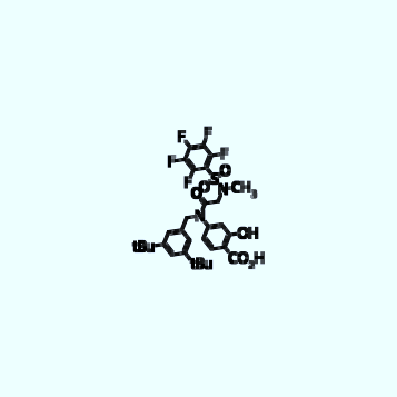 CN(CC(=O)N(Cc1cc(C(C)(C)C)cc(C(C)(C)C)c1)c1ccc(C(=O)O)c(O)c1)S(=O)(=O)c1c(F)c(F)c(F)c(F)c1F